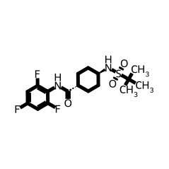 CC(C)(C)S(=O)(=O)N[C@H]1CC[C@H](C(=O)Nc2c(F)cc(F)cc2F)CC1